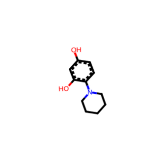 Oc1ccc(N2CCCCC2)c(O)c1